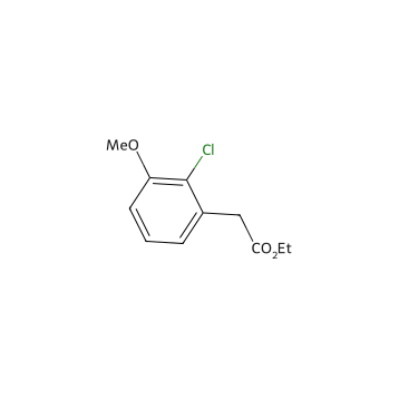 CCOC(=O)Cc1cccc(OC)c1Cl